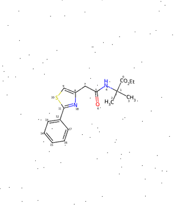 CCOC(=O)C(C)(C)NC(=O)Cc1csc(-c2ccccc2)n1